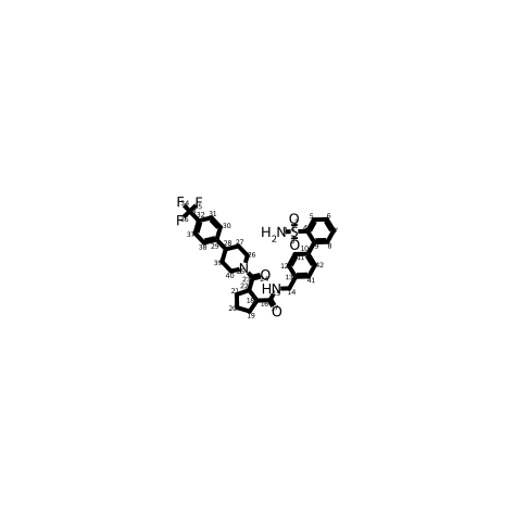 NS(=O)(=O)c1ccccc1-c1ccc(CNC(=O)C2CCCC2C(=O)N2CCC(c3ccc(C(F)(F)F)cc3)CC2)cc1